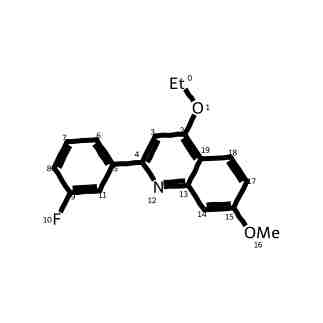 CCOc1cc(-c2cccc(F)c2)nc2cc(OC)ccc12